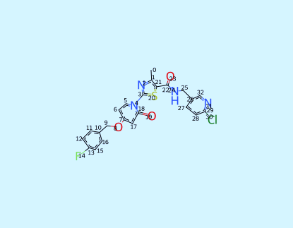 Cc1nc(-n2ccc(OCc3ccc(F)cc3)cc2=O)sc1C(=O)NCc1ccc(Cl)nc1